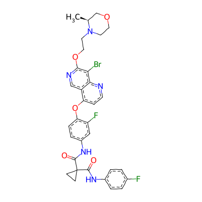 C[C@H]1COCCN1CCOc1ncc2c(Oc3ccc(NC(=O)C4(C(=O)Nc5ccc(F)cc5)CC4)cc3F)ccnc2c1Br